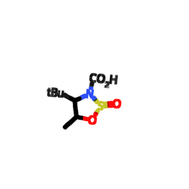 CC1OS(=O)N(C(=O)O)C1C(C)(C)C